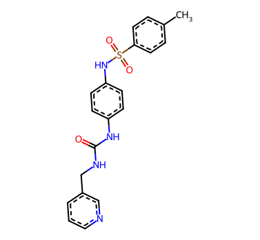 Cc1ccc(S(=O)(=O)Nc2ccc(NC(=O)NCc3cccnc3)cc2)cc1